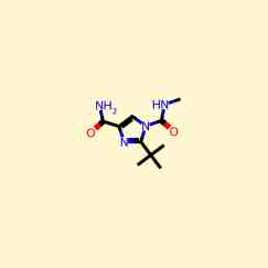 CNC(=O)n1cc(C(N)=O)nc1C(C)(C)C